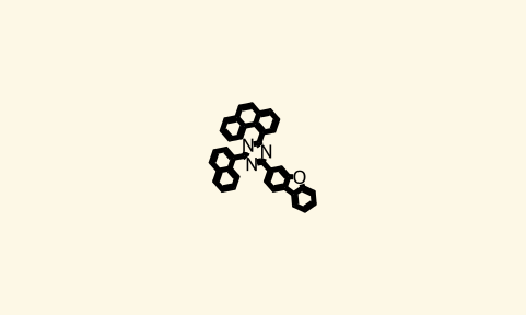 c1ccc2c(-c3nc(-c4ccc5c(c4)oc4ccccc45)nc(-c4cccc5ccc6ccccc6c45)n3)cccc2c1